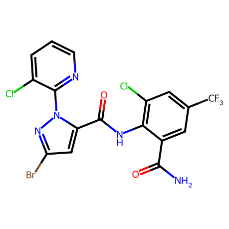 NC(=O)c1cc(C(F)(F)F)cc(Cl)c1NC(=O)c1cc(Br)nn1-c1ncccc1Cl